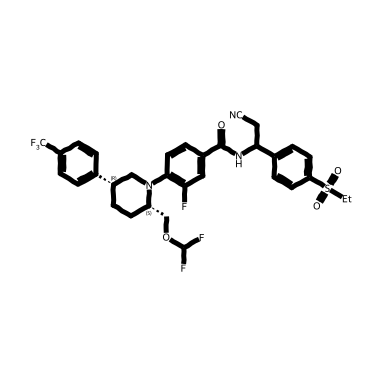 CCS(=O)(=O)c1ccc(C(CC#N)NC(=O)c2ccc(N3C[C@@H](c4ccc(C(F)(F)F)cc4)CC[C@H]3COC(F)F)c(F)c2)cc1